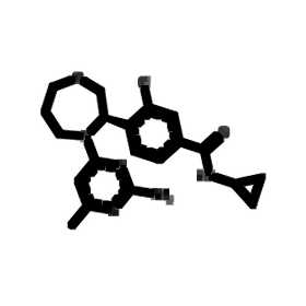 Cc1cc(N2CCCOC[C@H]2c2ccc(C(=O)NC3CC3)cc2Cl)nc(N)n1